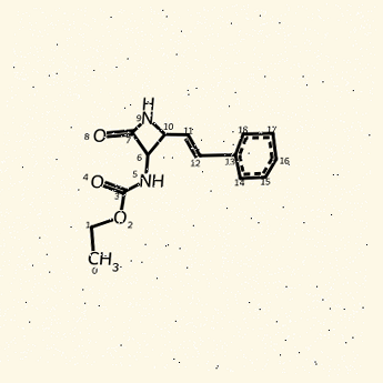 CCOC(=O)NC1C(=O)NC1/C=C/c1ccccc1